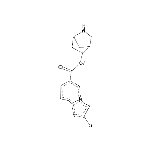 O=C(NC1CC2CC1CN2)c1ccc2nc(Cl)cn2c1